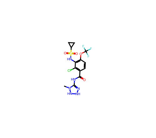 CN1NNN=C1NC(=O)c1ccc(OC(F)(F)F)c(NS(=O)(=O)C2CC2)c1Cl